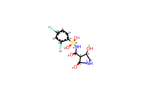 O=C1NCC(O)C1C(=O)NS(=O)(=O)c1ccc(F)cc1F